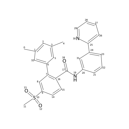 Cc1cc(C)cc(-c2cc(S(C)(=O)=O)ccc2C(=O)Nc2cccc(-c3ccccn3)c2)c1